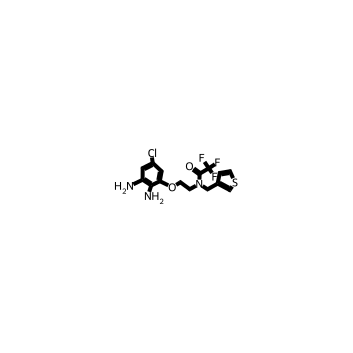 Nc1cc(Cl)cc(OCCN(Cc2ccsc2)C(=O)C(F)(F)F)c1N